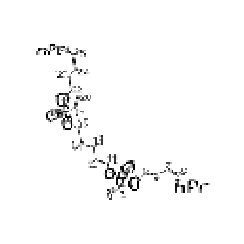 C=CP(=O)(OCC/C=C\CCC)OCCCCCOP(=O)(C=C)OCC/C=C\CCC